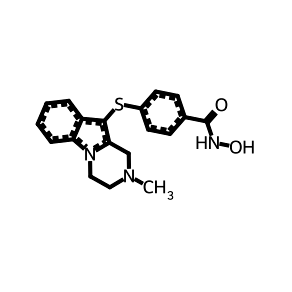 CN1CCn2c(c(Sc3ccc(C(=O)NO)cc3)c3ccccc32)C1